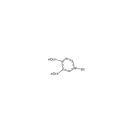 CCCCCCCCc1cc[n+](CC)cc1CCCCCCCC